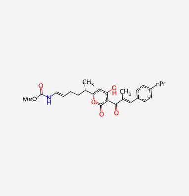 CCCc1ccc(/C=C(\C)C(=O)c2c(O)cc(C(C)CC/C=C/NC(=O)OC)oc2=O)cc1